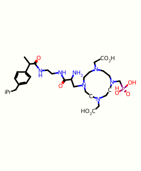 CC(C)Cc1ccc(C(C)C(=O)NCCNC(=O)C(N)CN2CCN(CC(=O)O)CCN(CP(=O)(O)O)CCN(CC(=O)O)CC2)cc1